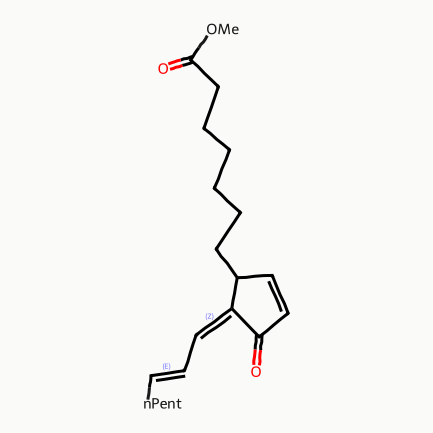 CCCCC/C=C/C=C1\C(=O)C=CC1CCCCCCC(=O)OC